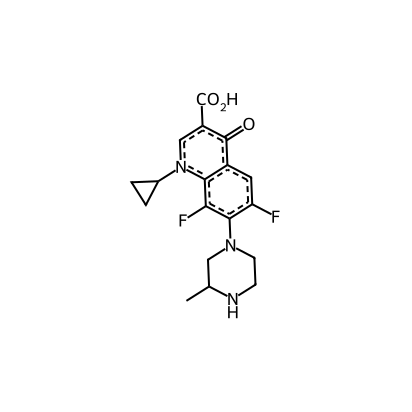 CC1CN(c2c(F)cc3c(=O)c(C(=O)O)cn(C4CC4)c3c2F)CCN1